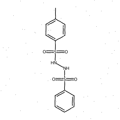 Cc1ccc(S(=O)(=O)NNS(=O)(=O)c2ccccc2)cc1